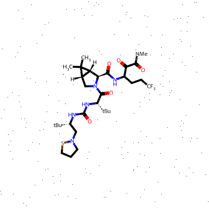 CNC(=O)C(=O)C(CCC(F)(F)F)NC(=O)[C@@H]1[C@@H]2[C@H](CN1C(=O)[C@@H](NC(=O)N[C@H](CN1CCCS1)C(C)(C)C)C(C)(C)C)C2(C)C